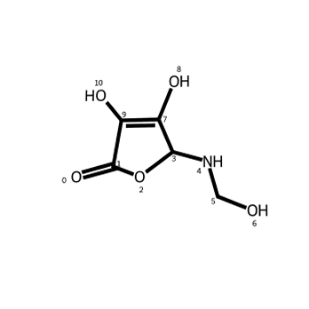 O=C1OC(NCO)C(O)=C1O